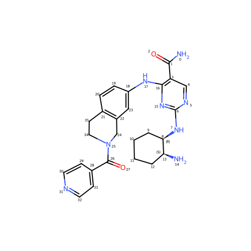 NC(=O)c1cnc(N[C@@H]2CCCC[C@@H]2N)nc1Nc1ccc2c(c1)CN(C(=O)c1ccncc1)CC2